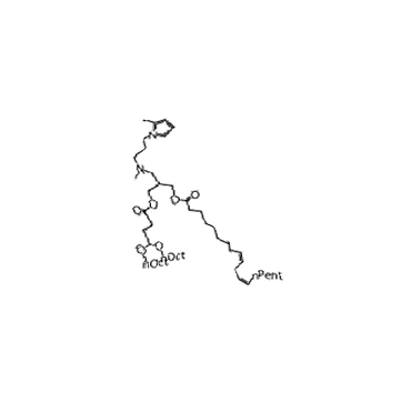 CCCCC/C=C\C/C=C\CCCCCCCC(=O)OCC(COC(=O)CCC(OCCCCCCCC)OCCCCCCCC)CN(C)CCCn1cccc1C